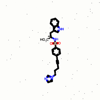 O=C(O)[C@@H](Cc1c[nH]c2ccccc12)NS(=O)(=O)c1ccc(C#CCCCn2ccnc2)cc1